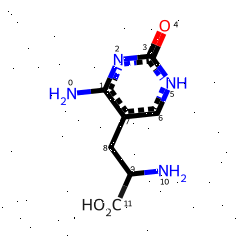 Nc1nc(=O)[nH]cc1CC(N)C(=O)O